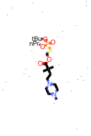 CCCOP(=O)(OC(C)(C)C)SCOC(=O)C(C)(C)CCN1CCN(C)CC1